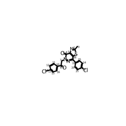 Cc1nc2c(=O)n(CC(=O)c3ccc(Cl)cc3)nc(-c3ccc(Cl)cc3)c2s1